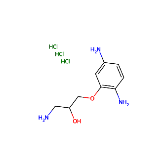 Cl.Cl.Cl.NCC(O)COc1cc(N)ccc1N